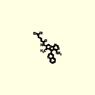 C=C1c2c(-c3cnc4ccccc4c3)c3c(N)ncnc3n2C[C@H]1NC(=O)C=CCN(CC)CC